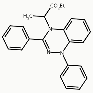 CCOC(=O)C(C)N1C(c2ccccc2)=NN(c2ccccc2)c2ccccc21